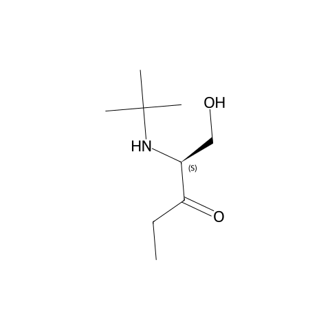 CCC(=O)[C@H](CO)NC(C)(C)C